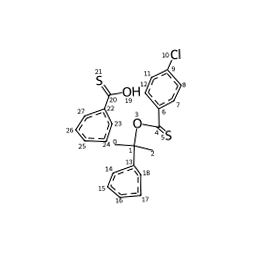 CC(C)(OC(=S)c1ccc(Cl)cc1)c1ccccc1.OC(=S)c1ccccc1